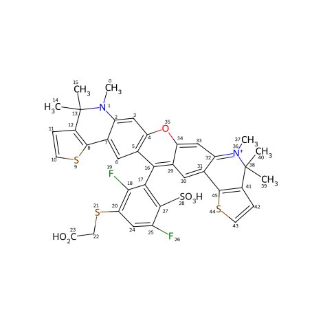 CN1c2cc3c(cc2-c2sccc2C1(C)C)C(c1c(F)c(SCC(=O)O)cc(F)c1S(=O)(=O)O)=c1cc2c(cc1O3)=[N+](C)C(C)(C)c1ccsc1-2